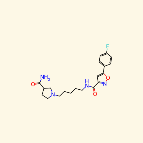 NC(=O)C1CCN(CCCCCNC(=O)c2cc(-c3ccc(F)cc3)on2)C1